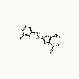 Cc1sc(SNc2cccc(F)n2)cc1[N+](=O)[O-]